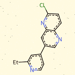 CCc1cc(-c2cnc3ccc(Cl)nc3c2)ccn1